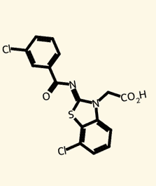 O=C(O)Cn1/c(=N/C(=O)c2cccc(Cl)c2)sc2c(Cl)cccc21